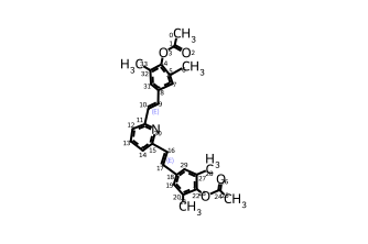 CC(=O)Oc1c(C)cc(/C=C/c2cccc(/C=C/c3cc(C)c(OC(C)=O)c(C)c3)n2)cc1C